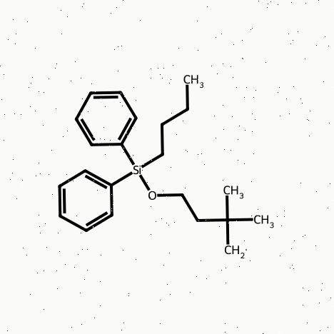 [CH2]C(C)(C)CCO[Si](CCCC)(c1ccccc1)c1ccccc1